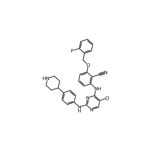 N#Cc1c(Nc2nc(Nc3ccc(C4CCNCC4)cc3)ncc2Cl)cccc1OCc1ccccc1F